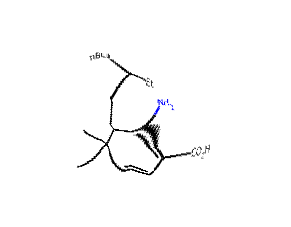 CCCCC(CC)CC1C(N)=C(C(=O)O)C=CC1(C)C